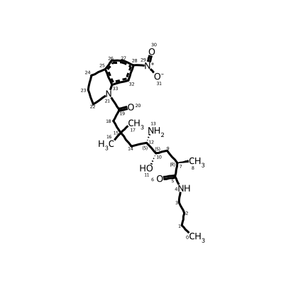 CCCCNC(=O)[C@H](C)C[C@H](O)[C@@H](N)CC(C)(C)CC(=O)N1CCCc2ccc([N+](=O)[O-])cc21